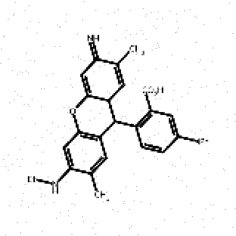 CCNc1cc2c(cc1C)C(c1ccc(C(C)C)cc1C(=O)O)C1C=C(C)C(=N)C=C1O2